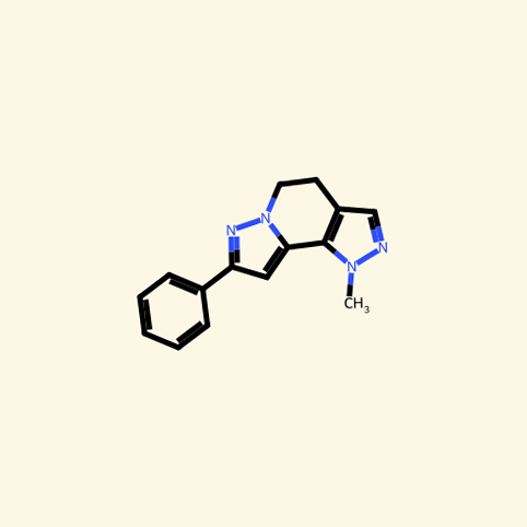 Cn1ncc2c1-c1cc(-c3ccccc3)nn1CC2